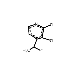 CC(F)c1ncnc(Cl)c1Cl